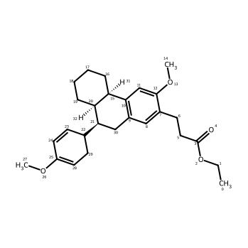 CCOC(=O)CCc1cc2c(cc1OC)[C@@H]1CCCC[C@@H]1[C@H](C1C=CC(OC)=CC1)C2